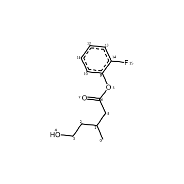 CC(CCO)CC(=O)Oc1ccccc1F